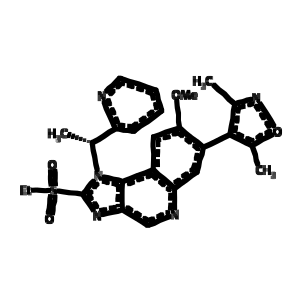 CCS(=O)(=O)c1nc2cnc3cc(-c4c(C)noc4C)c(OC)cc3c2n1[C@H](C)c1ccccn1